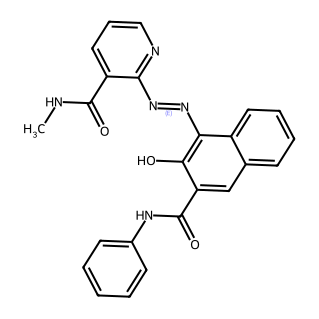 CNC(=O)c1cccnc1/N=N/c1c(O)c(C(=O)Nc2ccccc2)cc2ccccc12